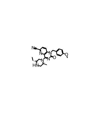 CC[C@@H]1CN(c2nc(=O)n(Cc3ccc(OC)cc3)c3ccc(C#N)nc23)[C@@H](C)CN1